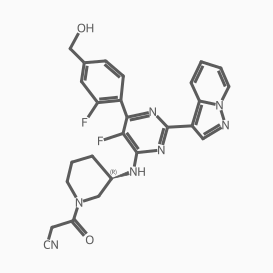 N#CCC(=O)N1CCC[C@@H](Nc2nc(-c3cnn4ccccc34)nc(-c3ccc(CO)cc3F)c2F)C1